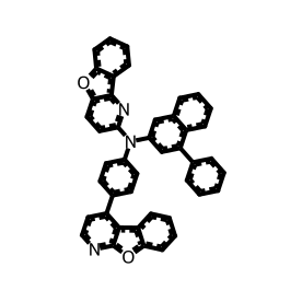 c1ccc(-c2cc(N(c3ccc(-c4ccnc5oc6ccccc6c45)cc3)c3ccc4oc5ccccc5c4n3)cc3ccccc23)cc1